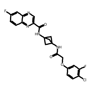 O=C(COc1ccc(Cl)c(F)c1)NC12CC(NC(=O)c3cnc4cc(F)ccc4n3)(C1)C2